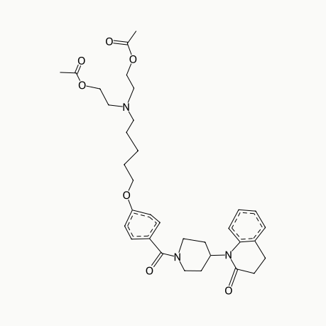 CC(=O)OCCN(CCCCCOc1ccc(C(=O)N2CCC(N3C(=O)CCc4ccccc43)CC2)cc1)CCOC(C)=O